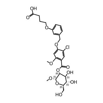 COc1cc(OCc2cccc(OCCCC(=O)O)c2)c(Cl)cc1C(=O)O[C@H]1[C@@H](OC)O[C@H](CO)[C@@H](O)[C@@H]1O